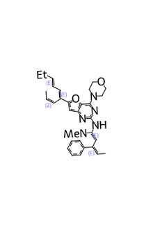 C\C=C/C(=C\C=C\CC)c1cc2nc(N/C(=C/C(=C\C)c3ccccc3)NC)nc(N3CCOCC3)c2o1